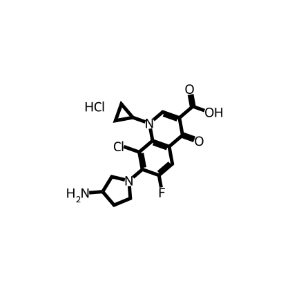 Cl.NC1CCN(c2c(F)cc3c(=O)c(C(=O)O)cn(C4CC4)c3c2Cl)C1